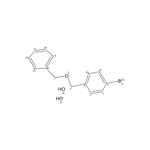 [B+2]c1ccc(COCc2ccccc2)cc1.[OH-].[OH-]